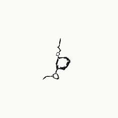 CCCOc1[c]ccc(OCC)c1